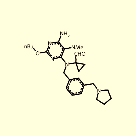 CCCCOc1nc(N)c(NC)c(N(Cc2cccc(CN3CCCC3)c2)C2(C=O)CC2)n1